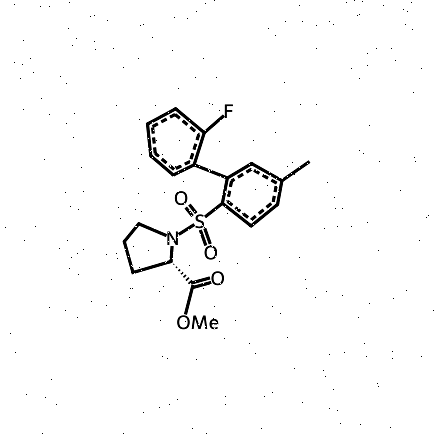 COC(=O)[C@@H]1CCCN1S(=O)(=O)c1ccc(C)cc1-c1ccccc1F